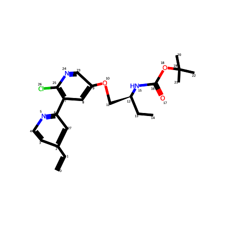 C=Cc1ccnc(-c2cc(OC[C@H](CC)NC(=O)OC(C)(C)C)cnc2Cl)c1